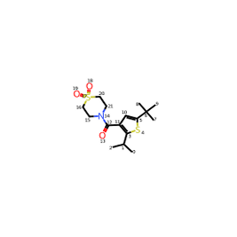 CC(C)c1sc(C(C)(C)C)cc1C(=O)N1CCS(=O)(=O)CC1